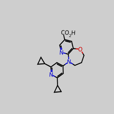 O=C(O)c1cnc2c(c1)OCCCN2c1cc(C2CC2)nc(C2CC2)c1